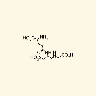 NC(CCC(=O)NC(CNCC(=O)O)CS(=O)(=O)O)C(=O)O